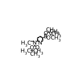 CCN(C(=O)OC(C)(C)C)c1ccc(B2OC(C)(C)C(C)(C)O2)cn1